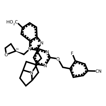 N#Cc1ccc(COc2nccc(N3C4CCC3CC(Cc3nc5ccc(C(=O)O)cc5n3C[C@@H]3CCO3)C4)n2)c(F)c1